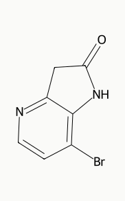 O=C1Cc2nccc(Br)c2N1